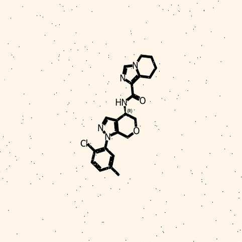 Cc1ccc(Cl)c(-n2ncc3c2COC[C@@H]3NC(=O)c2ncn3c2CCCC3)c1